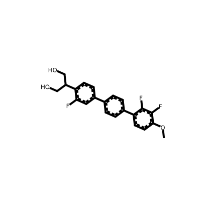 COc1ccc(-c2ccc(-c3ccc(C(CO)CO)c(F)c3)cc2)c(F)c1F